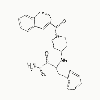 NC(=O)C(=O)C(Cc1ccccc1)NC1CCN(C(=O)c2ccc3ccccc3c2)CC1